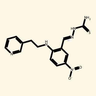 NC(=S)N/N=C/c1cc([N+](=O)[O-])ccc1NCCc1cccnc1